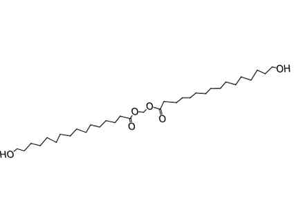 O=C(CCCCCCCCCCCCCCCO)OCOC(=O)CCCCCCCCCCCCCCCO